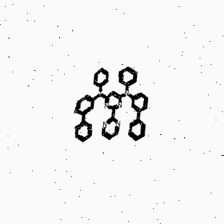 c1ccc(-c2cccc(N(c3ccccc3)c3cc(I(c4ccccc4)c4cccc(-c5ccccc5)c4)nc(-c4ncccn4)n3)c2)cc1